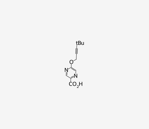 CC(C)(C)C#CCOc1cnc(C(=O)O)cn1